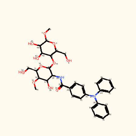 COC1OC(CO)C(OC2OC(CO)C(OC)C(O)C2NC(=O)c2ccc(N(c3ccccc3)c3ccccc3)cc2)C(O)C1O